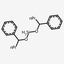 CCCC(O[SiH2]OC(CCC)c1ccccc1)c1ccccc1